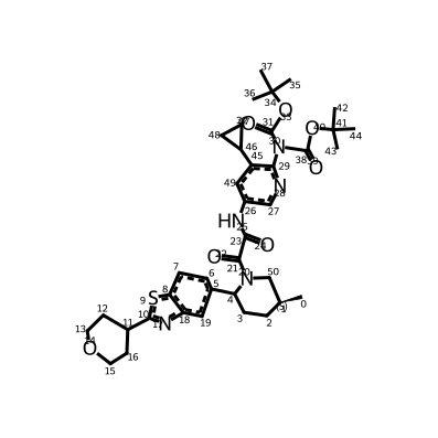 C[C@H]1CCC(c2ccc3sc(C4CCOCC4)nc3c2)N(C(=O)C(=O)Nc2cnc(N(C(=O)OC(C)(C)C)C(=O)OC(C)(C)C)c(C3CC3)c2)C1